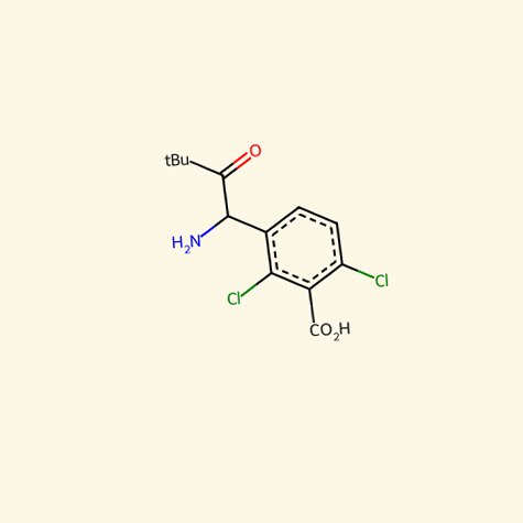 CC(C)(C)C(=O)C(N)c1ccc(Cl)c(C(=O)O)c1Cl